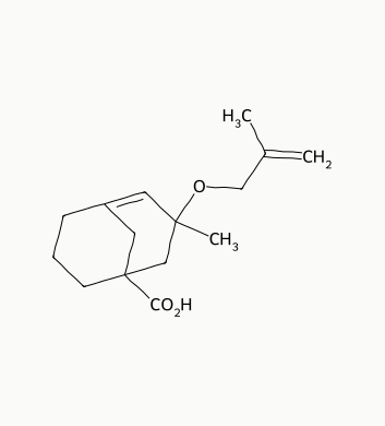 C=C(C)COC1(C)C=C2CCCC(C(=O)O)(C2)C1